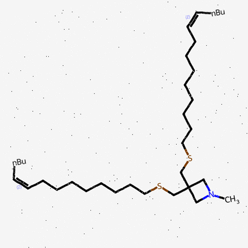 CCCC/C=C\CCCCCCCCSCC1(CSCCCCCCCC/C=C\CCCC)CN(C)C1